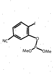 COP(OC)Oc1cc(C#N)ccc1I